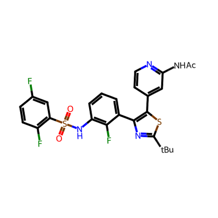 CC(=O)Nc1cc(-c2sc(C(C)(C)C)nc2-c2cccc(NS(=O)(=O)c3cc(F)ccc3F)c2F)ccn1